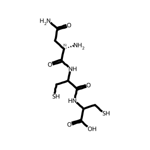 NC(=O)C[C@H](N)C(=O)NC(CS)C(=O)NC(CS)C(=O)O